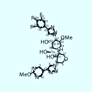 COc1ncc(-c2cn([C@H]3COC[C@@H]([SH]4C[C@H](OC)[C@@H](n5cc(-c6cc(F)c(F)c(F)c6)nn5)[C@@H](O)[C@H]4CO)[C@@H]3O)nn2)cn1